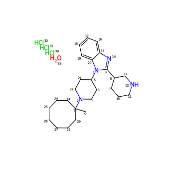 CC1(N2CCC(n3c(C4CCCNC4)nc4ccccc43)CC2)CCCCCCC1.Cl.Cl.Cl.O